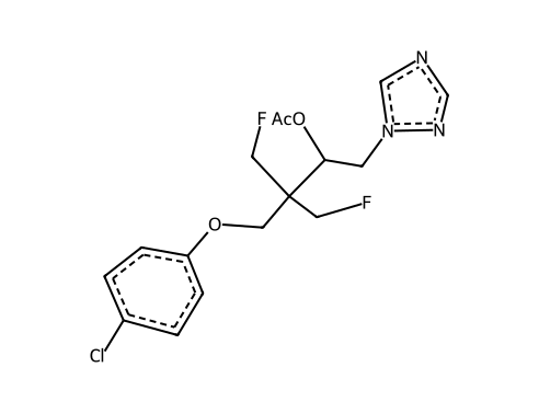 CC(=O)OC(Cn1cncn1)C(CF)(CF)COc1ccc(Cl)cc1